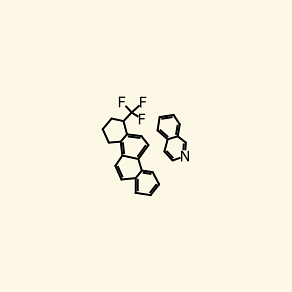 FC(F)(F)C1CCCc2c1ccc1c2ccc2ccccc21.c1ccc2cnccc2c1